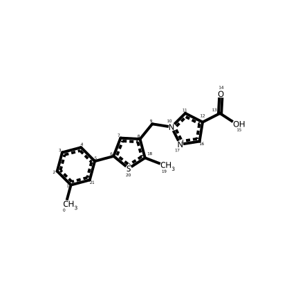 Cc1cccc(-c2cc(Cn3cc(C(=O)O)cn3)c(C)s2)c1